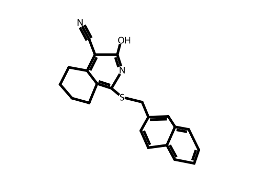 N#Cc1c(O)nc(SCc2ccc3ccccc3c2)c2c1CCCC2